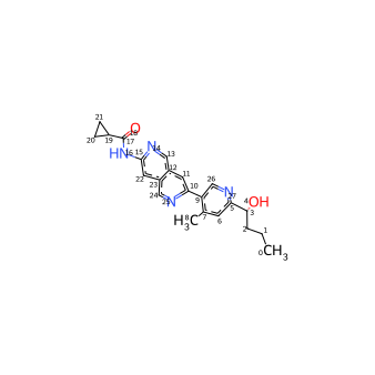 CCC[C@@H](O)c1cc(C)c(-c2cc3cnc(NC(=O)C4CC4)cc3cn2)cn1